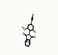 CC#Cc1cc(F)c(C2C(=O)c3c(c4ccc3o4)C2=O)c(OC)c1